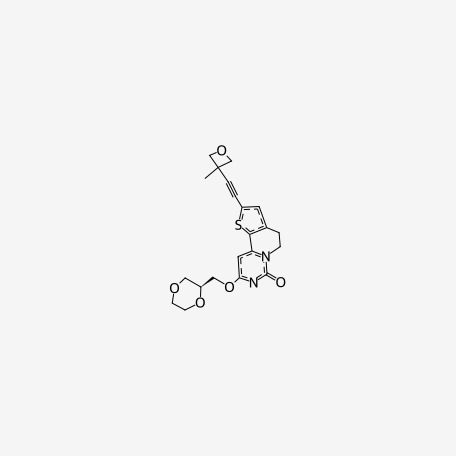 CC1(C#Cc2cc3c(s2)-c2cc(OC[C@@H]4COCCO4)nc(=O)n2CC3)COC1